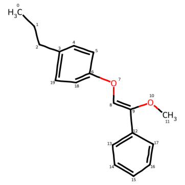 CCCc1ccc(OC=C(OC)c2ccccc2)cc1